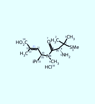 CSC(C)(C)[C@H](N)C(=O)N(C)[C@H](/C=C(\C)C(=O)O)C(C)C.Cl